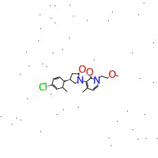 COCCn1ccc(C)c(N2C[C@@H](C3C=CC(Cl)=CC3C)CC2=O)c1=O